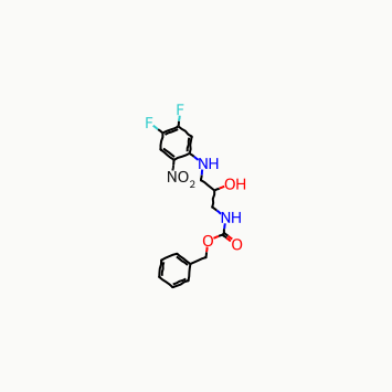 O=C(NCC(O)CNc1cc(F)c(F)cc1[N+](=O)[O-])OCc1ccccc1